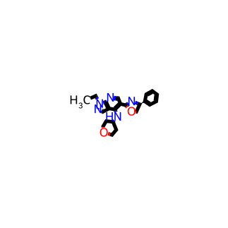 CCn1ncc2c(NC3CCOCC3)c(C3=N[C@H](c4ccccc4)CO3)cnc21